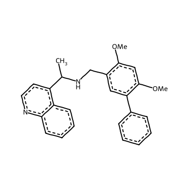 COc1cc(OC)c(-c2ccccc2)cc1CNC(C)c1ccnc2ccccc12